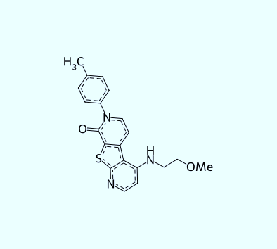 COCCNc1ccnc2sc3c(=O)n(-c4ccc(C)cc4)ccc3c12